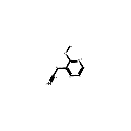 COc1ncccc1CC#N